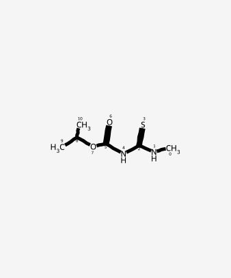 CNC(=S)NC(=O)OC(C)C